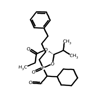 CCC(=O)O[C@@H](OP(=O)(CCCCc1ccccc1)C([C]=O)C1CCCCC1)C(C)C